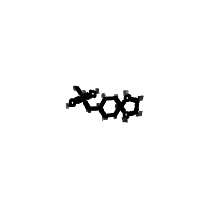 CS(=O)(=O)CC1CCC2(CC1)OCCO2